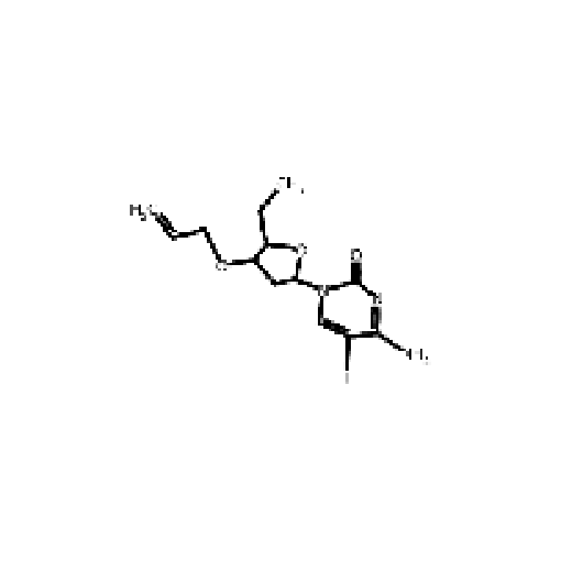 C=CCOC1CC(n2cc(I)c(N)nc2=O)OC1CC